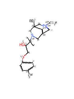 CC(C)(C(O)COc1ccc(C#N)cc1)N1CC2CN(C(=O)O)CC(C(C)(C)C)(C2)C1